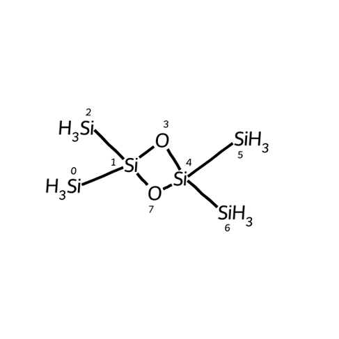 [SiH3][Si]1([SiH3])O[Si]([SiH3])([SiH3])O1